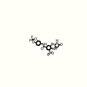 O=C1C[C@H](Nc2c(Br)cc(C(=O)Nc3ccc(OC(F)(F)Cl)cc3)cc2[N+](=O)[O-])CN1